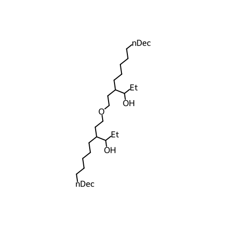 CCCCCCCCCCCCCCCC(CCOCCC(CCCCCCCCCCCCCCC)C(O)CC)C(O)CC